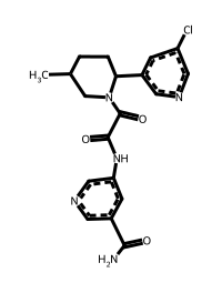 CC1CCC(c2cncc(Cl)c2)N(C(=O)C(=O)Nc2cncc(C(N)=O)c2)C1